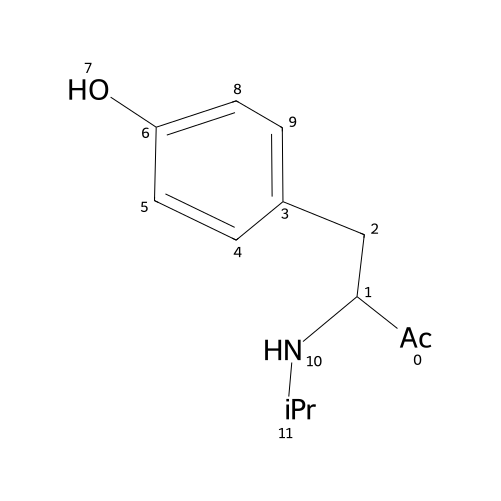 CC(=O)C(Cc1ccc(O)cc1)NC(C)C